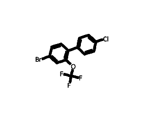 FC(F)(F)Oc1cc(Br)ccc1-c1ccc(Cl)cc1